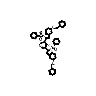 O=S(=O)(c1ccccc1)n1c(-c2cncc(-c3cc4cc(OCc5ccccc5)ccc4n3S(=O)(=O)c3ccccc3)c2)cc2cc(OCc3ccccc3)ccc21